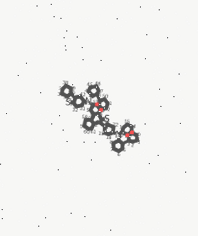 c1ccc(-c2ccccc2N(c2ccccc2)c2ccc3c(c2)sc2c4ccc(N(c5ccc6sc7ccccc7c6c5)c5ccccc5-c5ccccc5)cc4c4ccccc4c32)cc1